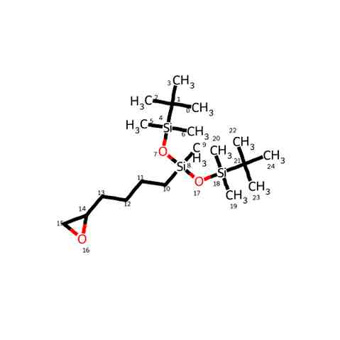 CC(C)(C)[Si](C)(C)O[Si](C)(CCCCC1CO1)O[Si](C)(C)C(C)(C)C